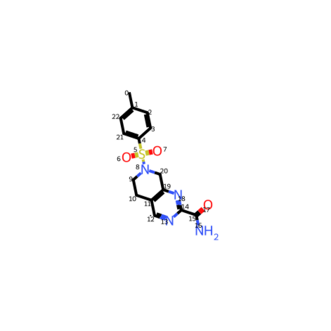 Cc1ccc(S(=O)(=O)N2CCc3[c]nc(C(N)=O)nc3C2)cc1